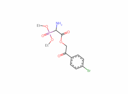 CCOP(=O)(OCC)C(N)C(=O)OCC(=O)c1ccc(Br)cc1